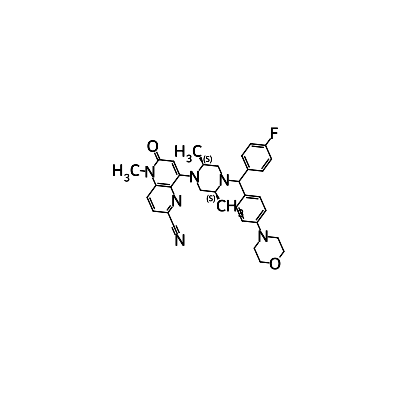 C[C@H]1CN(C(c2ccc(F)cc2)c2ccc(N3CCOCC3)cc2)[C@@H](C)CN1c1cc(=O)n(C)c2ccc(C#N)nc12